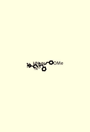 COc1ccc(CCN[C@H](c2ccccc2)[C@@H]2CNc3cc(-c4cnn(C)c4)cnc3O2)cc1